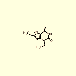 CCc1nc2c([nH]1)c(=O)[nH]c(=O)n2CC